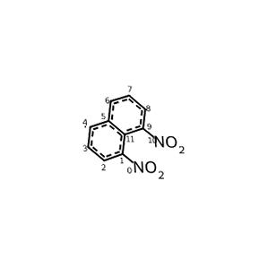 O=[N+]([O-])c1cc[c]c2cccc([N+](=O)[O-])c12